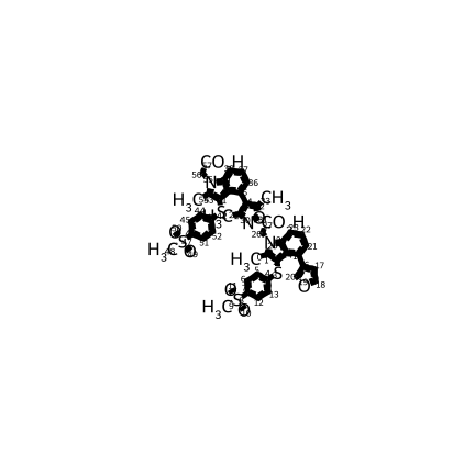 Cc1c(Sc2ccc(S(C)(=O)=O)cc2)c2c(-c3ccoc3)cccc2n1CC(=O)O.Cc1noc(C)c1-c1cccc2c1c(Sc1ccc(S(C)(=O)=O)cc1)c(C)n2CC(=O)O